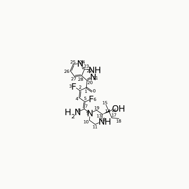 C=C(/C(F)=C\C(F)=C(/N)N1CCN[C@H](C(C)(O)CC)C1)c1n[nH]c2ncccc12